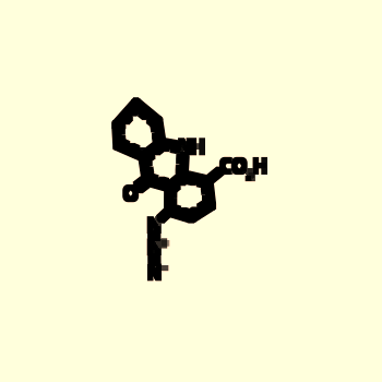 [N-]=[N+]=Nc1ccc(C(=O)O)c2[nH]c3ccccc3c(=O)c12